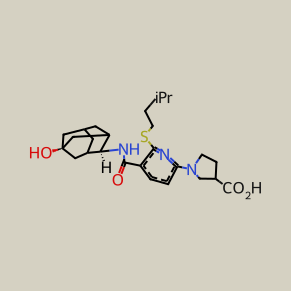 CC(C)CCSc1nc(N2CCC(C(=O)O)C2)ccc1C(=O)N[C@H]1C2CC3CC1C[C@@](O)(C3)C2